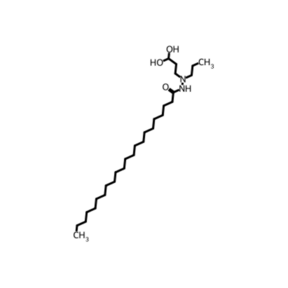 CCCCCCCCCCCCCCCCCCCCCC(=O)NN(CCC)CCC(O)O